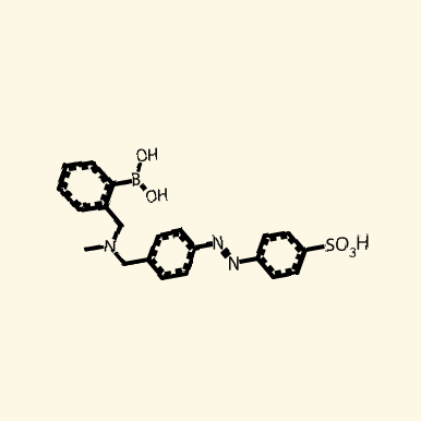 CN(Cc1ccc(/N=N/c2ccc(S(=O)(=O)O)cc2)cc1)Cc1ccccc1B(O)O